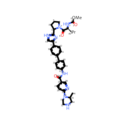 COC(=O)N[C@H](C(=O)N1CCCC1c1nc(-c2ccc(-c3ccc(NC(=O)c4ccc(N5CCNCC5C)nc4)cc3)cc2)c[nH]1)C(C)C